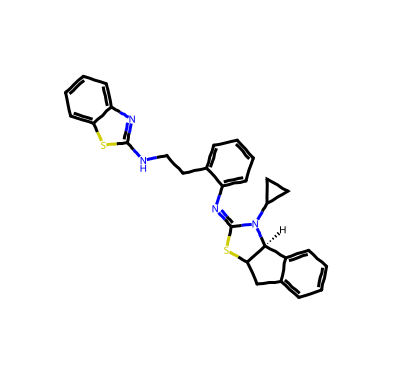 c1ccc(/N=C2/SC3Cc4ccccc4[C@@H]3N2C2CC2)c(CCNc2nc3ccccc3s2)c1